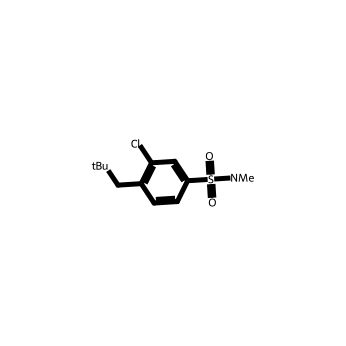 CNS(=O)(=O)c1ccc(CC(C)(C)C)c(Cl)c1